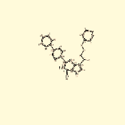 CC(CCCc1ccccc1)n1cnc2c(=O)[nH]c(-c3ccc(-c4ccccc4)cc3)nc21